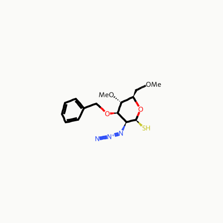 COC[C@H]1O[C@@H](S)[C@@H](N=[N+]=[N-])[C@@H](OCc2ccccc2)[C@@H]1OC